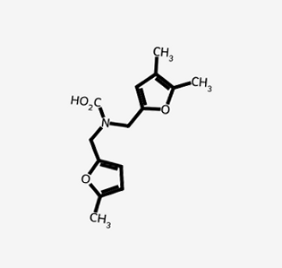 Cc1ccc(CN(Cc2cc(C)c(C)o2)C(=O)O)o1